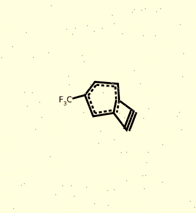 FC(F)(F)c1ccc2c(c1)C#C2